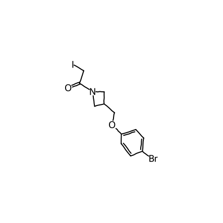 O=C(CI)N1CC(COc2ccc(Br)cc2)C1